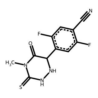 CN1C(=O)C(c2cc(F)c(C#N)cc2F)NNC1=S